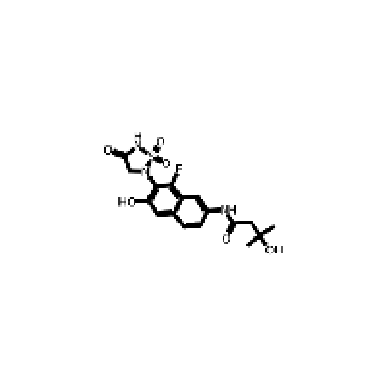 CC(C)(O)CC(=O)Nc1ccc2cc(O)c(N3CC(=O)NS3(=O)=O)c(F)c2c1